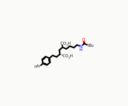 CCCc1ccc(CC[C@H](CC(CCCCNC(=O)C(C)(C)C)C(=O)O)C(=O)O)cc1